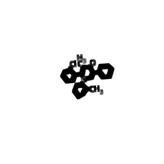 Cc1ccccc1-n1cc(-c2ccccc2)c(=O)c(C)c1-c1ccccc1Cl